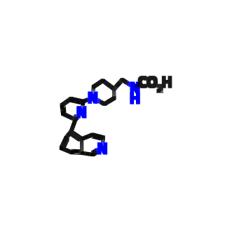 O=C(O)NCC1CCN(c2cccc(-c3cccc4cnccc34)n2)CC1